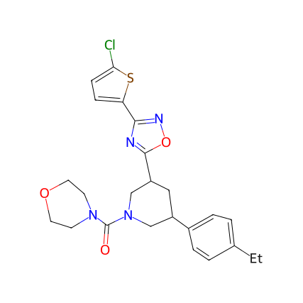 CCc1ccc(C2CC(c3nc(-c4ccc(Cl)s4)no3)CN(C(=O)N3CCOCC3)C2)cc1